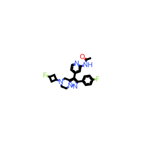 CC(=O)Nc1cc(-c2c(-c3ccc(F)cc3)nn3c2CN(C2CC(F)C2)CC3)ccn1